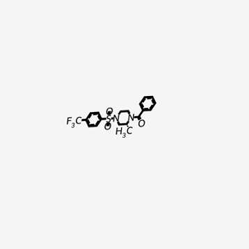 C[C@@H]1CN(S(=O)(=O)c2ccc(C(F)(F)F)cc2)CCN1C(=O)c1ccccc1